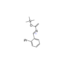 C=C(/N=C/c1ccccc1C(C)C)O[Si](C)(C)C